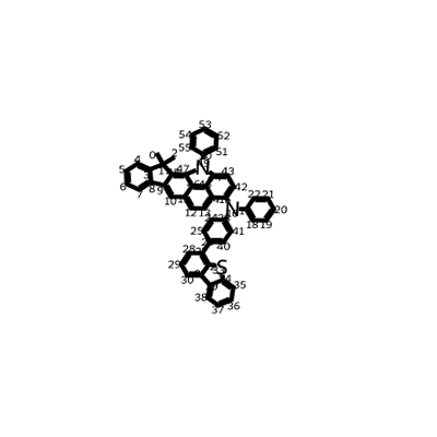 CC1(C)c2ccccc2-c2cc3ccc4c(N(c5ccccc5)c5ccc(-c6cccc7c6sc6ccccc67)cc5)ccc5c4c3c(c21)n5-c1ccccc1